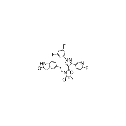 C[C@@H]1O[C@H](c2cn(-c3cc(F)cc(F)c3)nc2-c2ccc(F)nc2)N(CCc2ccc3c(c2)CC(=O)N3)C1=O